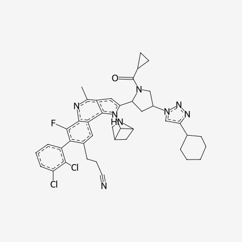 Cc1nc2c(F)c(-c3cccc(Cl)c3Cl)c(CCC#N)cc2c2c1cc(C1CC(n3cc(C4CCCCC4)nn3)CN1C(=O)C1CC1)n2C1C2CNC1C2